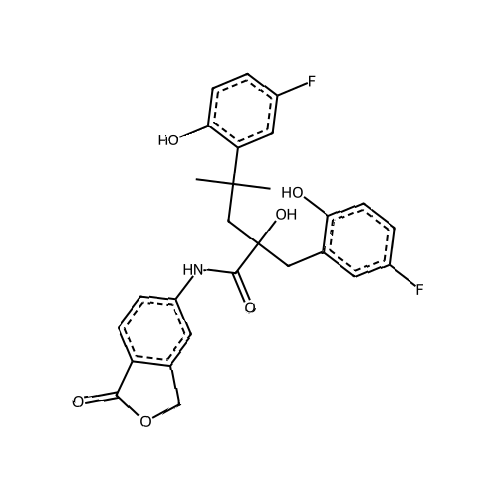 CC(C)(CC(O)(Cc1cc(F)ccc1O)C(=O)Nc1ccc2c(c1)COC2=O)c1cc(F)ccc1O